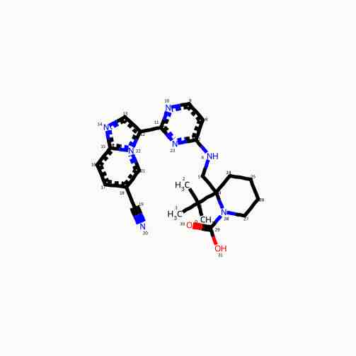 CC(C)(C)C1(CNc2ccnc(-c3cnc4ccc(C#N)cn34)n2)CCCCN1C(=O)O